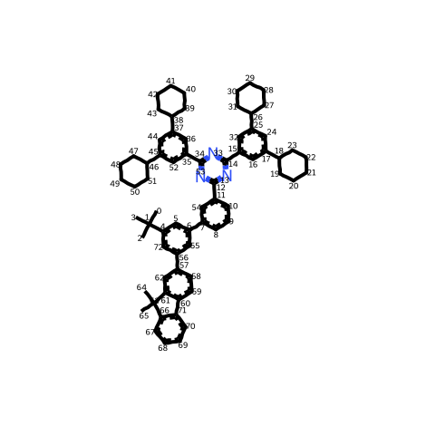 CC(C)(C)c1cc(-c2cccc(-c3nc(-c4cc(C5CCCCC5)cc(C5CCCCC5)c4)nc(-c4cc(C5CCCCC5)cc(C5CCCCC5)c4)n3)c2)cc(-c2ccc3c(c2)C(C)(C)c2ccccc2-3)c1